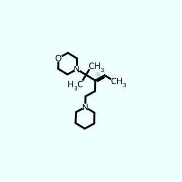 C/C=C(\CCN1CCCCC1)C(C)(C)N1CCOCC1